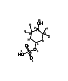 CC1(C)CC(OS(=O)(=O)O)CC(C)(C)N1O